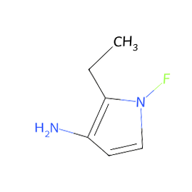 CCc1c(N)ccn1F